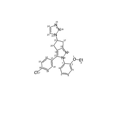 CCOc1ccccc1-n1nc2c(c1-c1ccc(Cl)cc1)CC(n1ccnn1)C2